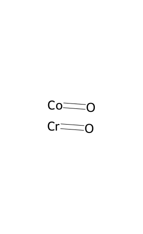 [O]=[Co].[O]=[Cr]